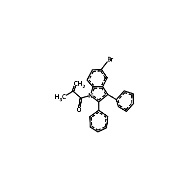 C=C(C)C(=O)n1c(-c2ccccc2)c(-c2ccccc2)c2cc(Br)ccc21